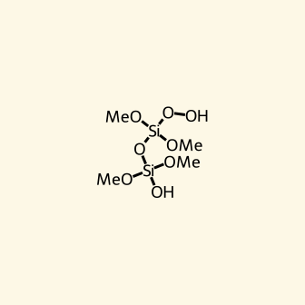 CO[Si](O)(OC)O[Si](OC)(OC)OO